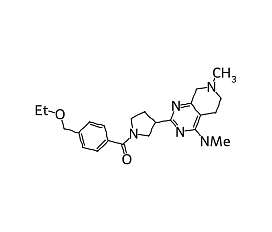 CCOCc1ccc(C(=O)N2CCC(c3nc4c(c(NC)n3)CCN(C)C4)C2)cc1